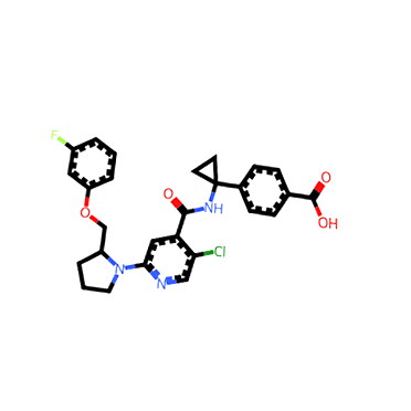 O=C(O)c1ccc(C2(NC(=O)c3cc(N4CCCC4COc4cccc(F)c4)ncc3Cl)CC2)cc1